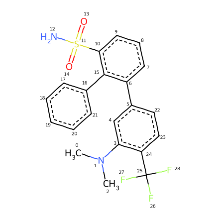 CN(C)c1cc(-c2cccc(S(N)(=O)=O)c2-c2ccccc2)ccc1C(F)(F)F